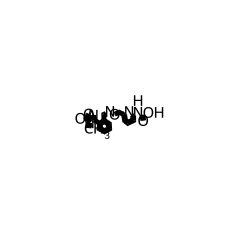 Cn1c(-c2ccccc2/C=N\OCc2cccc(NC(=O)O)n2)noc1=O